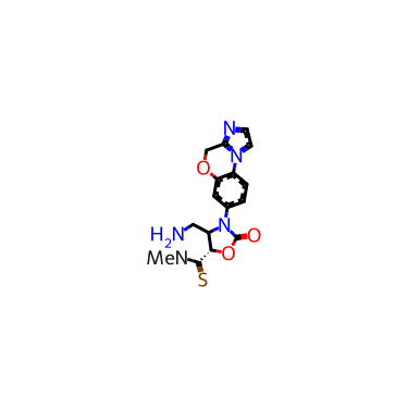 CNC(=S)[C@H]1OC(=O)N(c2ccc3c(c2)OCc2nccn2-3)C1CN